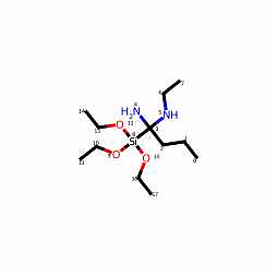 CCCC(N)(NCC)[Si](OCC)(OCC)OCC